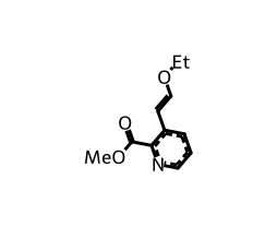 CCO/C=C/c1cccnc1C(=O)OC